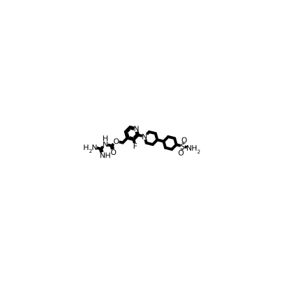 N=C(N)NC(=O)OCc1ccnc(N2CCC(C3CCC(S(N)(=O)=O)CC3)CC2)c1F